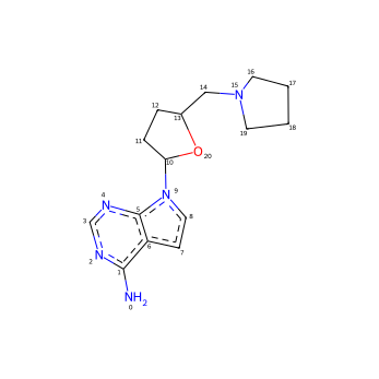 Nc1ncnc2c1ccn2C1CCC(CN2CCCC2)O1